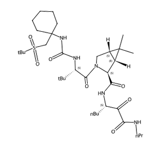 CCCC[C@H](NC(=O)[C@@H]1[C@@H]2[C@H](CN1C(=O)[C@@H](NC(=O)NC1(CS(=O)(=O)C(C)(C)C)CCCCC1)C(C)(C)C)C2(C)C)C(=O)C(=O)NCCC